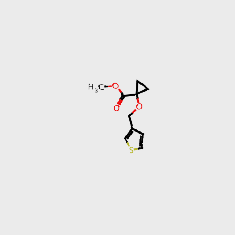 COC(=O)C1(OCc2ccsc2)CC1